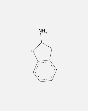 NC1[C]c2ccccc2C1